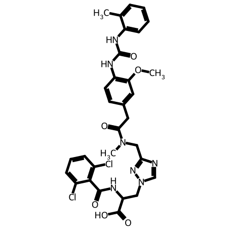 COc1cc(CC(=O)N(C)Cc2ncn(CC(NC(=O)c3c(Cl)cccc3Cl)C(=O)O)n2)ccc1NC(=O)Nc1ccccc1C